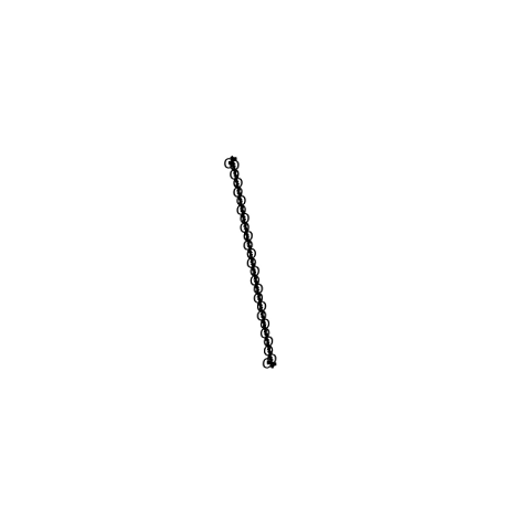 CC(C)C(=O)OCCOCCOCCOCCOCCOCCOCCOCCOCCOCCOCCOCCOCCOCCOCCOCCOCCOCCOCCOCCOCCOCCOC(=O)C(C)C